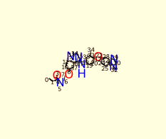 C=CC(=O)N(C)CCOc1ccc2ncnc(Nc3ccc(Oc4ccc5c(c4)ncn5C)c(C)c3)c2c1